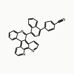 N#Cc1ccc(-c2ccc(-c3nc4ccccc4c4c5cccnc5c5ncccc5c34)c3ccccc23)cc1